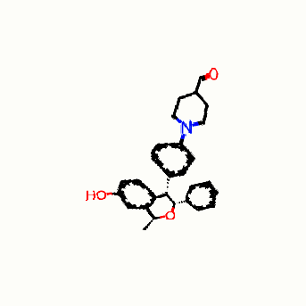 C[C@@H]1O[C@@H](c2ccccc2)[C@@H](c2ccc(N3CCC(C=O)CC3)cc2)c2ccc(O)cc21